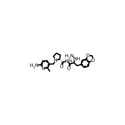 Cc1nc(N)ccc1CN1CCC[C@@H]1C(=O)NC(=O)C(Cc1ccc2c(c1)OCO2)NN